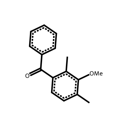 COc1c(C)ccc(C(=O)c2ccccc2)c1C